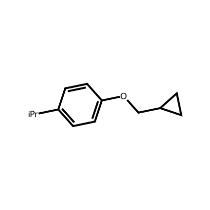 CC(C)c1ccc(OCC2CC2)cc1